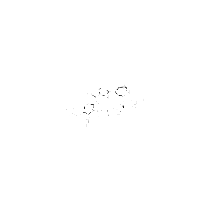 CC(C)(C)OC(=O)NC[C@@H]1CCCN(c2c(NC(=O)c3csc(-c4ccnnc4)n3)ccc(OC3CCCC3)c2C(F)(F)F)C1